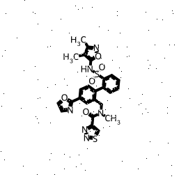 Cc1noc(NS(=O)(=O)c2ccccc2-c2ccc(-c3ncco3)cc2CN(C)C(=O)c2csnn2)c1C